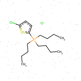 CCCC[P+](CCCC)(CCCC)c1ccc(Cl)s1.[Cl-]